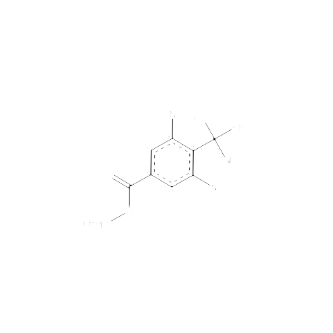 CCCCCCCOC(=O)c1cc(N)c(C(C)(C)CCC)c(N)c1